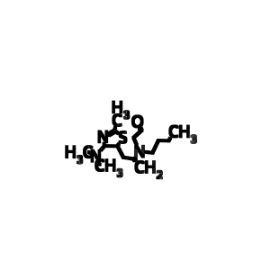 C=C(CC1SC(C)=NC1N(C)C)N(CC=O)CCCC